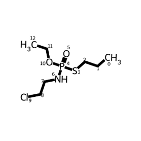 CCCSP(=O)(NCCCl)OCC